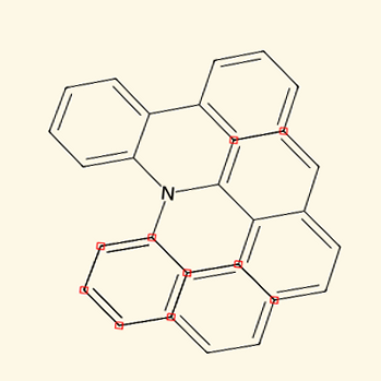 c1ccc(-c2ccccc2N(c2cccc3ccccc23)c2cccc3cccc(-c4ccccc4)c23)cc1